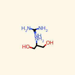 N=C(N)N.NC(CO)CO